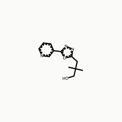 CC(C)(CO)Cc1nnc(-c2cccnc2)o1